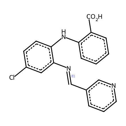 O=C(O)c1ccccc1Nc1ccc(Cl)cc1/N=C/c1cccnc1